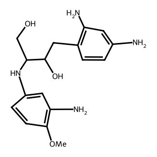 COc1ccc(NC(CO)C(O)Cc2ccc(N)cc2N)cc1N